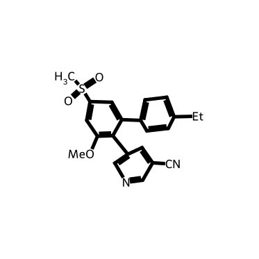 CCc1ccc(-c2cc(S(C)(=O)=O)cc(OC)c2-c2cncc(C#N)c2)cc1